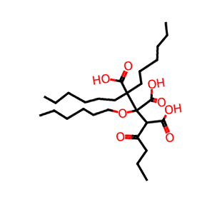 CCCCCCOC(C(=O)O)(C(C(=O)O)C(=O)CCC)C(CCCCCC)(CCCCCC)C(=O)O